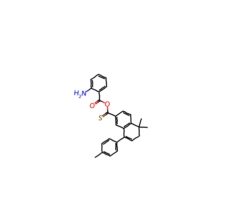 Cc1ccc(C2=CCC(C)(C)c3ccc(C(=S)OC(=O)c4ccccc4N)cc32)cc1